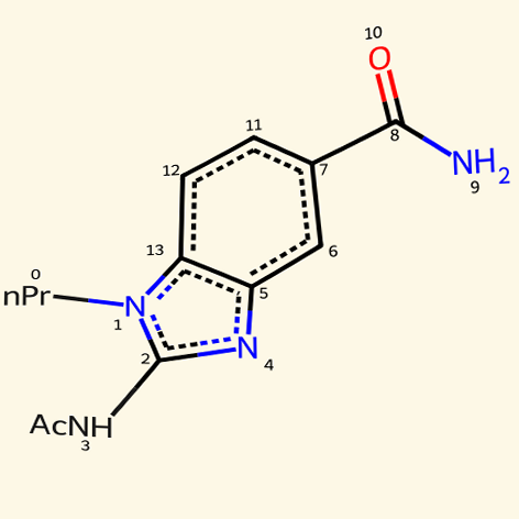 CCCn1c(NC(C)=O)nc2cc(C(N)=O)ccc21